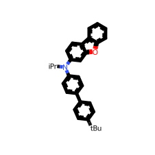 CC(C)N(c1ccc(-c2ccc(C(C)(C)C)cc2)cc1)c1ccc2c(c1)oc1ccccc12